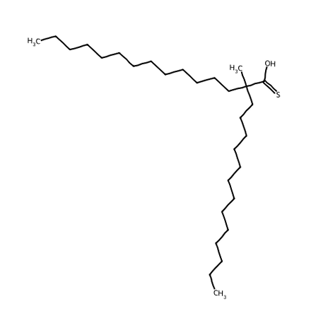 CCCCCCCCCCCCCC(C)(CCCCCCCCCCCCC)C(O)=S